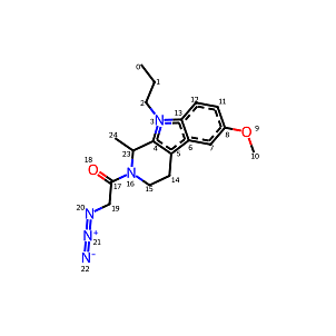 CCCn1c2c(c3cc(OC)ccc31)CCN(C(=O)CN=[N+]=[N-])C2C